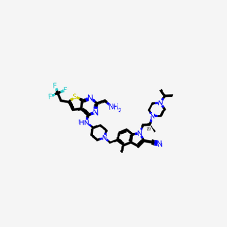 Cc1c(CN2CCC(Nc3nc(CN)nc4sc(CC(F)(F)F)cc34)CC2)ccc2c1cc(C#N)n2C[C@H](C)N1CCN(C(C)C)CC1